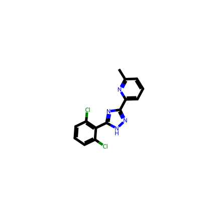 Cc1cccc(-c2n[nH]c(-c3c(Cl)cccc3Cl)n2)n1